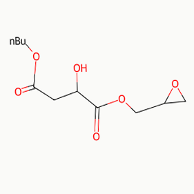 CCCCOC(=O)CC(O)C(=O)OCC1CO1